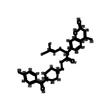 CC(C)=CCN(C(=O)CCN1CCN(C(=O)c2ccc(C)cc2)CC1)c1ccc2c(C)cc(=O)oc2c1